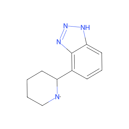 c1cc(C2CCCC[N]2)c2nn[nH]c2c1